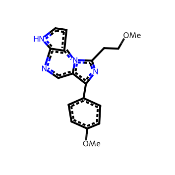 COCCc1nc(-c2ccc(OC)cc2)c2cnc3[nH]ccc3n12